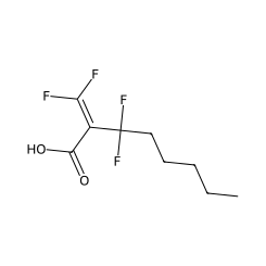 CCCCCC(F)(F)C(C(=O)O)=C(F)F